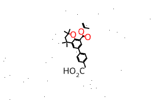 C=C(C)OC(=O)c1cc(-c2ccc(CC(=O)O)cc2)cc2c1OC(C)(C)CC2(C)C